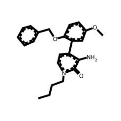 CCCCn1ccc(-c2cc(OC)ccc2OCc2ccccc2)c(N)c1=O